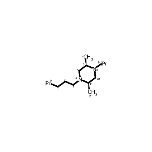 CC(C)CCCN1C[C@@H](C)N(C(C)C)C[C@H]1C